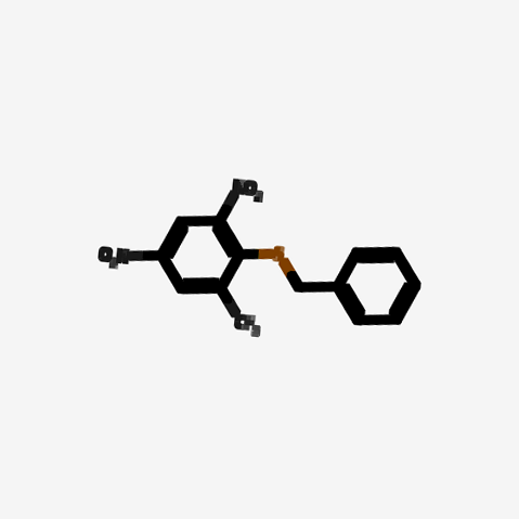 O=[N+]([O-])c1cc([N+](=O)[O-])c(SCc2ccccc2)c(C(F)(F)F)c1